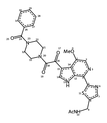 COc1cnc(-c2ncc(CNC(C)=O)s2)c2[nH]cc(C(=O)C(=O)N3CCN(C(=O)c4ccccc4)CC3)c12